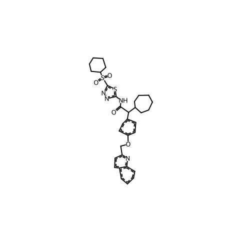 O=C(Nc1nnc(S(=O)(=O)C2CCCCC2)s1)C(c1ccc(OCc2ccc3ccccc3n2)cc1)C1CCCCCC1